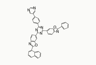 c1ccc(-c2nc3ccc(-c4nc(-c5ccc(-c6cncnc6)cc5)nc(-c5ccc6nc(-c7cccc8ccccc78)oc6c5)n4)cc3o2)cc1